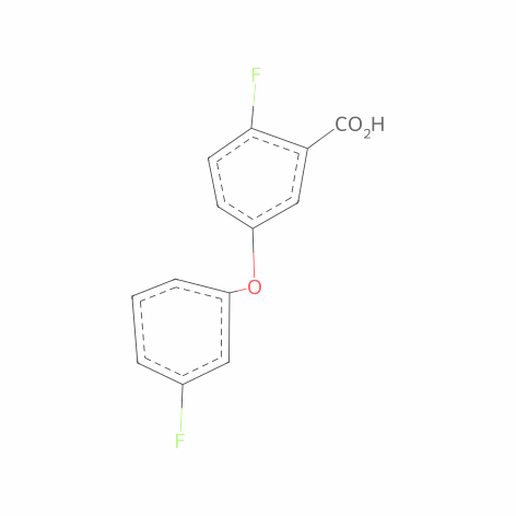 O=C(O)c1cc(Oc2cccc(F)c2)ccc1F